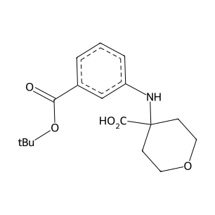 CC(C)(C)OC(=O)c1cccc(NC2(C(=O)O)CCOCC2)c1